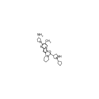 Cc1cn2nc([C@@H]3CCCCN3C(=O)C3CNN(C4CCCC4)C3)cc2nc1N1CC[C@H](N)C1